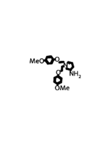 COc1ccc(OCC[N+]2(CCOc3ccc(OC)cc3)CCCC(N)C2)cc1